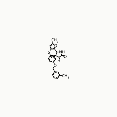 Cc1cccc(COc2ccc(Sc3cc(C)oc3C3NC(=O)NC3=O)cc2)c1